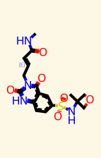 CNC(=O)/C=C/Cn1c(=O)[nH]c2ccc(S(=O)(=O)NC3(C)COC3)cc2c1=O